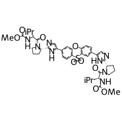 COC(=O)N[C@H](C(=O)N1CCC[C@H]1c1ncc(-c2ccc3c(c2)Oc2ccc(-c4cnc([C@@H]5CCCN5C(=O)[C@@H](NC(=O)OC)C(C)C)[nH]4)cc2S3(=O)=O)[nH]1)C(C)C